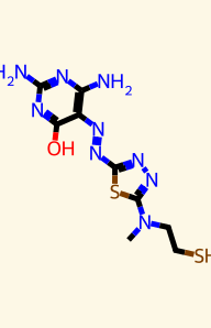 CN(CCS)c1nnc(/N=N/c2c(N)nc(N)nc2O)s1